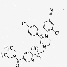 CCN(CC)C(=O)c1ccc([C@@](O)(I)CN2CCN(c3ccc(C#N)cc3Cl)[C@H](c3ccc(Cl)cc3)C2)nc1